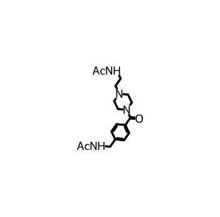 CC(=O)NCCN1CCN(C(=O)c2ccc(CNC(C)=O)cc2)CC1